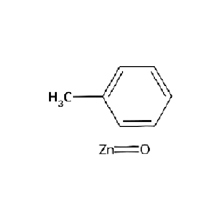 Cc1ccccc1.[O]=[Zn]